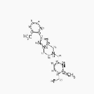 Cc1cccnc1-c1cc2n(n1)CCN(Cc1ccc(CF)c(C)n1)C2